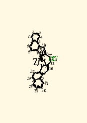 [Cl-].[Cl-].c1ccc2c3c(ccc2c1)[CH]1[Zr+2][CH]2C4=C(CCC3=C1CC4)c1c2ccc2ccccc12